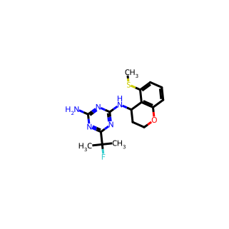 CSc1cccc2c1C(Nc1nc(N)nc(C(C)(C)F)n1)CCO2